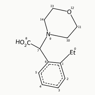 CCc1ccccc1C(C(=O)O)N1CCOCC1